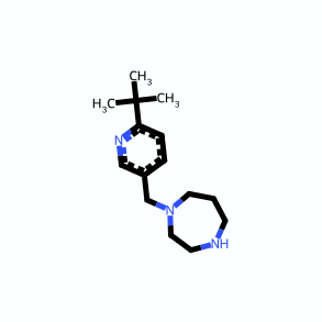 CC(C)(C)c1ccc(CN2CCCNCC2)cn1